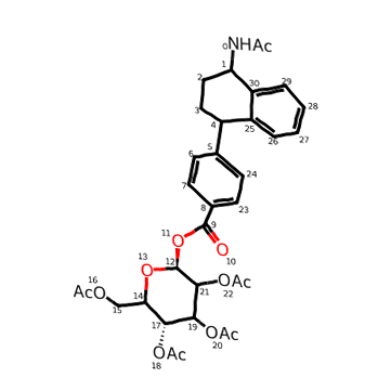 CC(=O)NC1CCC(c2ccc(C(=O)O[C@@H]3OC(COC(C)=O)[C@@H](OC(C)=O)C(OC(C)=O)C3OC(C)=O)cc2)c2ccccc21